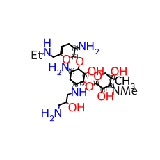 CCNCC1=CC[C@@H](N)[C@@H](OC2[C@@H](N)C[C@@H](NCC(O)CN)[C@H](O[C@H]3OC[C@](C)(O)[C@H](NC)[C@H]3O)[C@H]2O)O1